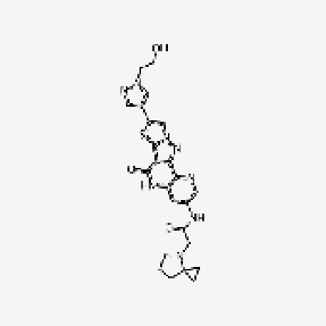 O=C(CN1CCCC12CC2)Nc1cnc2c(c1)[nH]c(=O)c1c2nn2cc(-c3cnn(CCO)c3)sc12